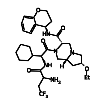 CCO[C@@H]1C[C@@H]2CN(C(=O)[C@@H](NC(=O)C(N)CC(F)(F)F)C3CCCCC3)[C@H](C(=O)N[C@@H]3CCOc4ccccc43)CN2C1